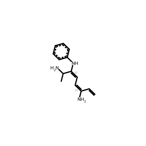 C=C/C(N)=C\C=C(\Nc1ccccc1)C(C)N